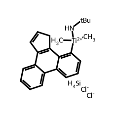 CC(C)(C)[NH][Ti+2]([CH3])([CH3])[c]1cccc2c1c1c(c3ccccc32)C=CC1.[Cl-].[Cl-].[SiH4]